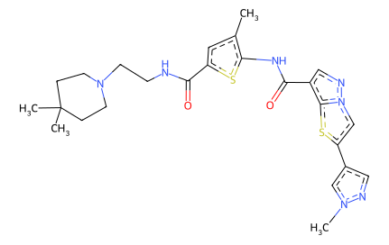 Cc1cc(C(=O)NCCN2CCC(C)(C)CC2)sc1NC(=O)c1cnn2cc(-c3cnn(C)c3)sc12